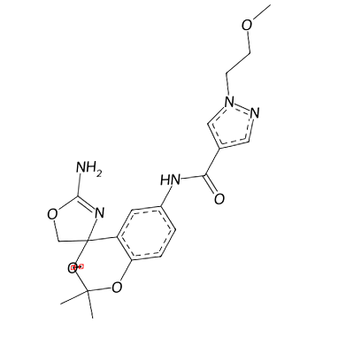 COCCn1cc(C(=O)Nc2ccc3c(c2)C2(COC(N)=N2)C2(COC2)C(C)(C)O3)cn1